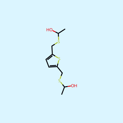 CC(O)SCc1ccc(CSC(C)O)s1